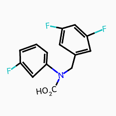 O=C(O)N(Cc1cc(F)cc(F)c1)c1cccc(F)c1